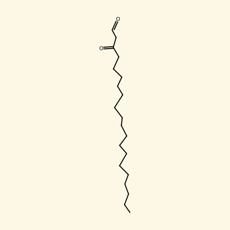 CCCCCCCCCCCCCCCCCC(=O)CC=O